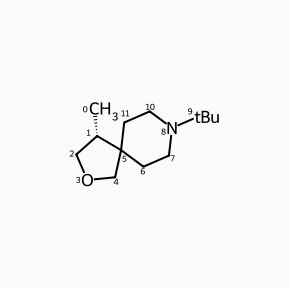 C[C@H]1COCC12CCN(C(C)(C)C)CC2